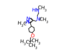 CNCCN(C)Cc1cnn(C)c1C1CCC(OCC(C)(C)C)CC1